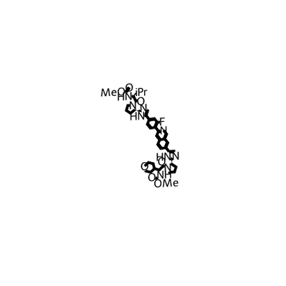 COC(=O)N[C@H](C(=O)N1CCC[C@H]1c1ncc(-c2ccc(-c3cc4ccc(-c5cnc([C@@H]6CCCN6C(=O)[C@@H](NC(=O)OC)C6CCOCC6)[nH]5)cc4cn3)c(F)c2)[nH]1)C(C)C